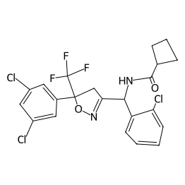 O=C(NC(C1=NOC(c2cc(Cl)cc(Cl)c2)(C(F)(F)F)C1)c1ccccc1Cl)C1CCC1